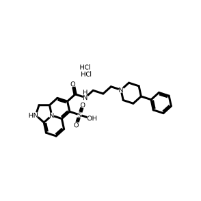 Cl.Cl.O=C(NCCCN1CCC(c2ccccc2)CC1)C1=CC2CNC3=CC=CC(=C1S(=O)(=O)O)N32